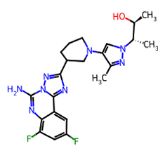 Cc1nn([C@@H](C)[C@H](C)O)cc1N1CCCC(c2nc3c4cc(F)cc(F)c4nc(N)n3n2)C1